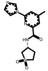 Cc1cc(C(=O)N[C@@H]2CCS(=O)(=O)C2)nc(-n2ccnc2)c1